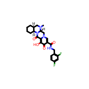 CN1C[C@@H]2CCCC[C@@H]2N2C(=O)c3c(O)c(=O)c(C(=O)NCc4ccc(F)cc4F)cn3C[C@@H]12